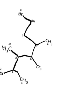 CC(Br)C(C)C([O])C(C)CCBr